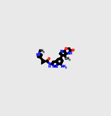 Cc1c(-c2cc(N)c3nnc(NC(=O)C4CC4c4cnn(C)c4)cc3c2)cnc2c1NC(=O)CO2